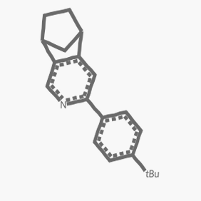 CC(C)(C)c1ccc(-c2cc3c(cn2)C2CCC3C2)cc1